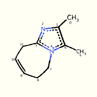 Cc1nc2n(c1C)CCC=CC2